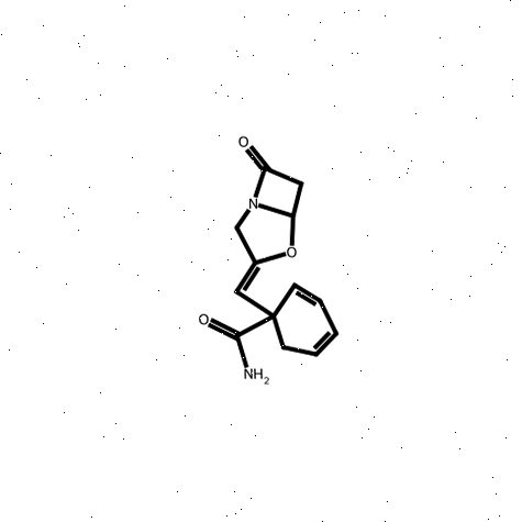 NC(=O)C1(C=C2CN3C(=O)CC3O2)C=CC=CC1